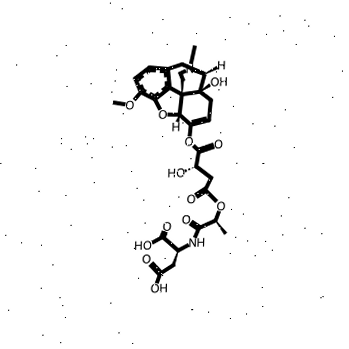 COc1ccc2c3c1O[C@H]1C(OC(=O)[C@@H](O)CC(=O)O[C@@H](C)C(=O)N[C@@H](CC(=O)O)C(=O)O)=CC[C@@]4(O)[C@@H](C2)N(C)CC[C@]314